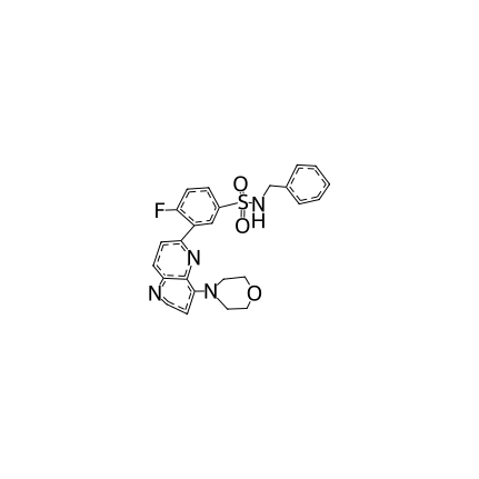 O=S(=O)(NCc1ccccc1)c1ccc(F)c(-c2ccc3nccc(N4CCOCC4)c3n2)c1